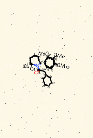 CC[C@@H](C)[C@]1(C(=O)O)CCCCN1C(=O)[C@H](c1cc(OC)c(OC)c(OC)c1)C1CCCCC1